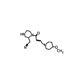 COC1CCN(C/C=C/C(=O)N2CCNCC2CC#N)CC1